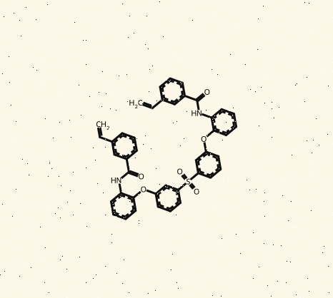 C=Cc1cccc(C(=O)Nc2ccccc2Oc2cccc(S(=O)(=O)c3cccc(Oc4ccccc4NC(=O)c4cccc(C=C)c4)c3)c2)c1